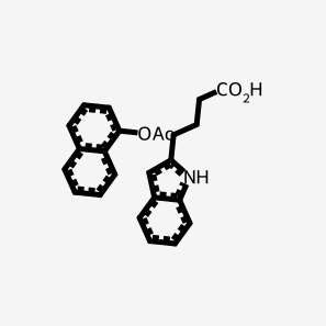 CC(=O)Oc1cccc2ccccc12.O=C(O)CCCc1cc2ccccc2[nH]1